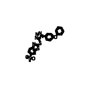 CS(=O)(=O)c1ccc2nc(Sc3nnnn3-c3ccc(Oc4ccccc4)cc3)sc2c1